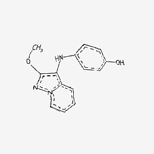 COc1nn2ccccc2c1Nc1ccc(O)cc1